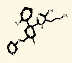 CSCCC(NC(=O)c1cc(I)c(COc2cccnc2)cc1-c1ccccc1C)C(=O)O